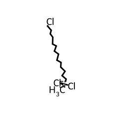 C[Si](Cl)(Cl)CCCCCCCCCCCCCCCl